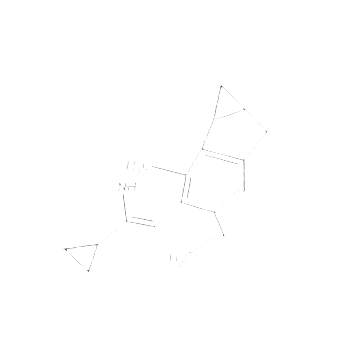 C=Cc1cc2c(c(C)c1/C=C(\N)C1CC1)C1CC1C2